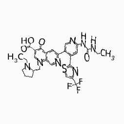 CCNC(=O)Nc1cc(-c2nc(C(F)(F)F)cs2)c(-c2cc3c(=O)c(C(=O)O)cn(CC4CCCN4CC)c3cn2)cn1